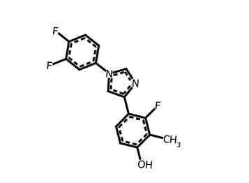 Cc1c(O)ccc(-c2cn(-c3ccc(F)c(F)c3)cn2)c1F